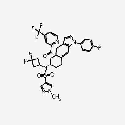 Cn1cc(S(=O)(=O)N(C2CC(F)(F)C2)[C@H]2CCC3=Cc4c(cnn4-c4ccc(F)cc4)C[C@]3(C(=O)c3cc(C(F)(F)F)ccn3)C2)cn1